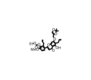 C=CCc1c(-c2cc(=O)c3c(O)c(CC=C)c(OCC4=COC(C)(C)O4)cc3o2)ccc(OC)c1OC(C=O)OCC